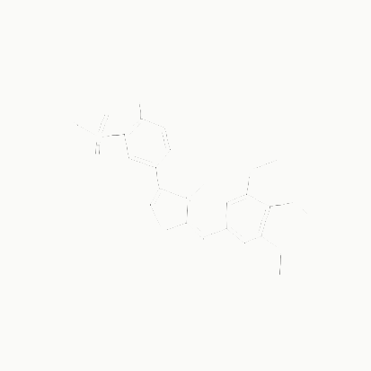 COc1cc(/N=c2/scc(-c3ccc(Cl)c(S(N)(=O)=O)c3)n2C)cc(OC)c1OC